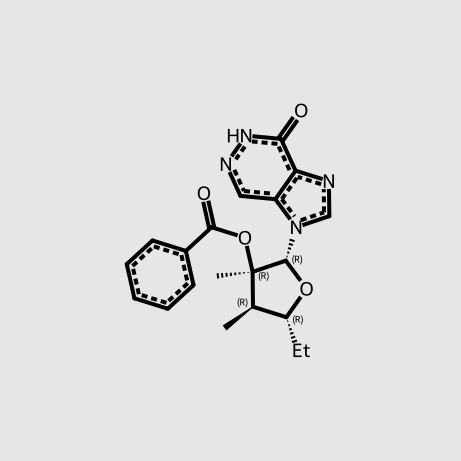 CC[C@H]1O[C@@H](n2cnc3c(=O)[nH]ncc32)[C@](C)(OC(=O)c2ccccc2)[C@@H]1C